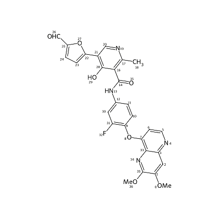 COc1cc2nccc(Oc3ccc(NC(=O)c4c(C)ncc(-c5ccc(C=O)o5)c4O)cc3F)c2nc1OC